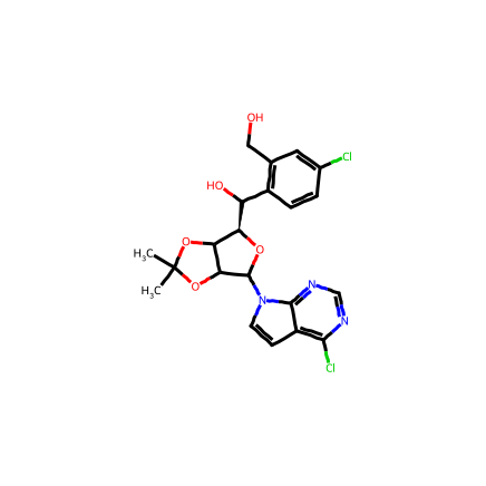 CC1(C)OC2C(O1)[C@@H](C(O)c1ccc(Cl)cc1CO)OC2n1ccc2c(Cl)ncnc21